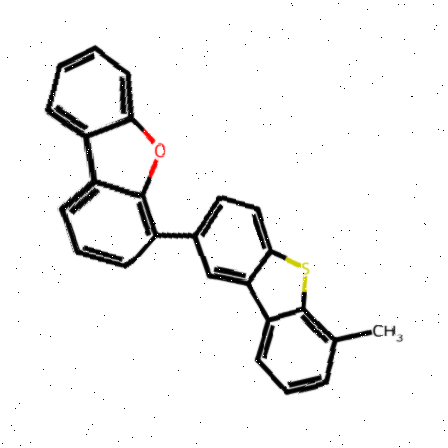 Cc1cccc2c1sc1ccc(-c3cccc4c3oc3ccccc34)cc12